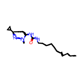 CCCCCCCCCCNC(=O)Nc1cc(C2CC2)nn1C